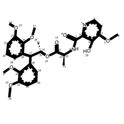 COc1ccnc(C(=O)N[C@@H](C)C(=O)O[C@@H](C)C(c2cccc(OC)c2OC)c2cccc(OC)c2OC)c1O